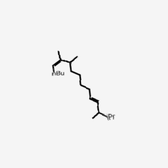 CCCCC=C(C)C(C)CCCCC=CC(C)C(C)C